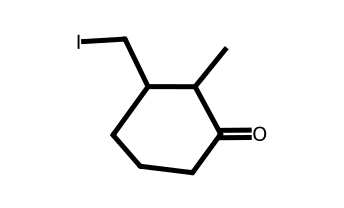 CC1C(=O)CCCC1CI